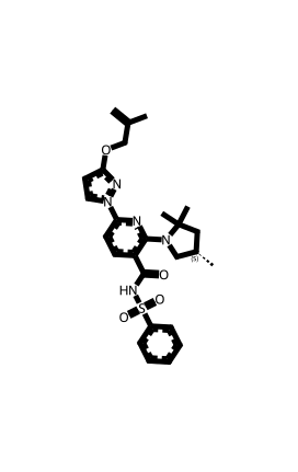 C=C(C)COc1ccn(-c2ccc(C(=O)NS(=O)(=O)c3ccccc3)c(N3C[C@@H](C)CC3(C)C)n2)n1